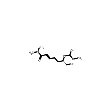 COC(O)N[C@H](CO)CC/C=C/C(=O)N(C)C